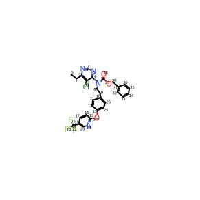 CCc1ncnc(N(CCc2ccc(Oc3ccc(C(F)(F)F)cn3)cc2)C(=O)OCc2ccccc2)c1Cl